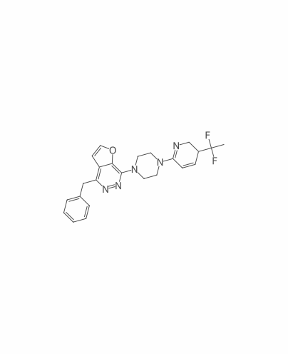 CC(F)(F)C1C=CC(N2CCN(c3nnc(Cc4ccccc4)c4ccoc34)CC2)=NC1